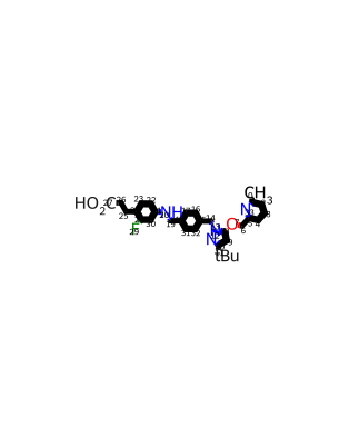 Cc1cccc(COc2cc(C(C)(C)C)nn2Cc2ccc(CNc3ccc(CCC(=O)O)c(F)c3)cc2)n1